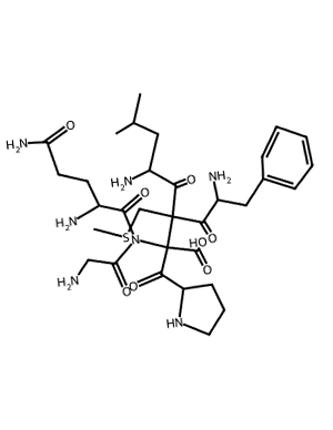 CSCC(C(=O)C(N)Cc1ccccc1)(C(=O)C(N)CC(C)C)C(C(=O)O)(C(=O)C1CCCN1)N(C(=O)CN)C(=O)C(N)CCC(N)=O